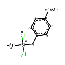 COc1ccc(C[Si](C)(Cl)Cl)cc1